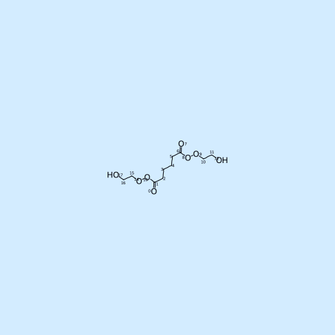 O=C(CCCCC(=O)OOCCO)OOCCO